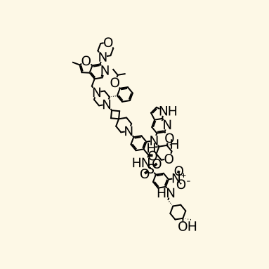 Cc1cc2c(CN3CCN(C4CC5(CCN(c6ccc(C(=O)NS(=O)(=O)c7ccc(NC[C@H]8CC[C@](C)(O)CC8)c([N+](=O)[O-])c7)c(N7c8cc9cc[nH]c9nc8O[C@H]8COCC[C@@H]87)c6)CC5)C4)[C@@H](c4ccccc4OC(C)C)C3)cnc(N3CCOCC3)c2o1